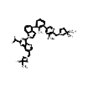 COc1nc(-c2cccc(-c3cccc4c3CCN4c3nc(C(F)F)nc4cc(CN5CC(C)(O)C5)cnc34)c2C)cnc1CN1CCC(C)(C(=O)O)C1